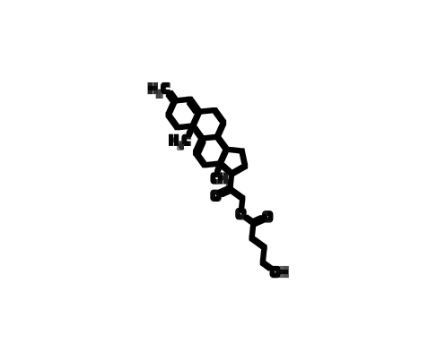 C=C1C=C2CCC3C(=CCC4(C)C(C(=O)COC(=O)CCCO)CCC34)C2(C)CC1